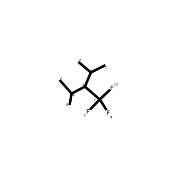 CC(C)C(C(C)C)C(F)(F)F